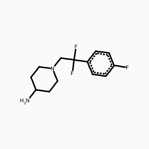 NC1CCN(CC(F)(F)c2ccc(F)cc2)CC1